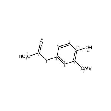 COc1cc(CC(=O)C(=O)O)ccc1O